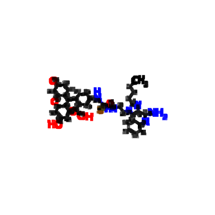 CCCCc1nc2c(N)nc3ccccc3c2n1CCNOC(=S)Nc1ccc(-c2c3ccc(=O)cc-3oc3cc(O)ccc23)c(C(=O)O)c1